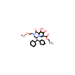 CCOC(=O)c1cn2c(c(O)c1=O)C(=O)N(CCOC)C[C@@H]2C(c1ccccc1)c1ccccc1